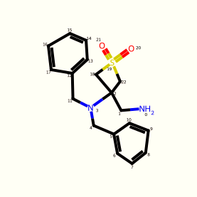 NCC1(N(Cc2ccccc2)Cc2ccccc2)CS(=O)(=O)C1